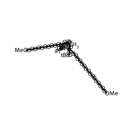 COCCOCCOCCOCCOCCOCCOCCOCCOCCOCCOCCN(CCC(=O)N[C@H](C(=O)N[C@@H](C)C(=O)Nc1ccc(COC(=O)C(C)(C)C)c(CCCOCCOCCOCCOCCOCCOCCOCCOCCOCCOCOCCOCCOCCOCCOCCOCCOC)c1)C(C)C)C(=O)CN1C(=O)CC(C(C)C)C1=O